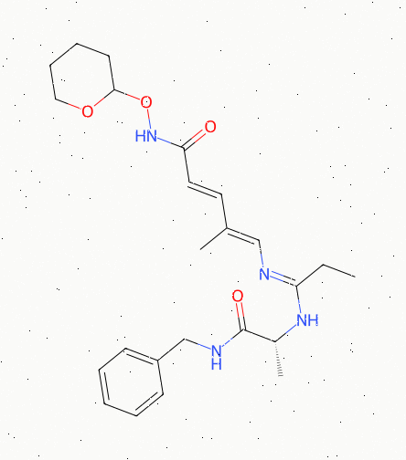 CC\C(=N/C=C(C)/C=C/C(=O)NOC1CCCCO1)N[C@H](C)C(=O)NCc1ccccc1